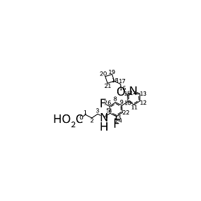 O=C(O)CCCNc1c(F)cc(-c2cccnc2OCC2CCC2)cc1F